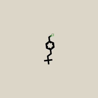 CC(C)(C)CCc1ccc(CCl)cc1